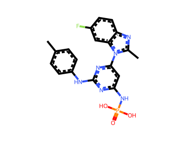 Cc1ccc(Nc2nc(NP(=O)(O)O)cc(-n3c(C)nc4ccc(F)cc43)n2)cc1